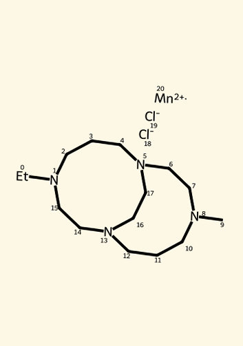 CCN1CCCN2CCN(C)CCCN(CC1)CC2.[Cl-].[Cl-].[Mn+2]